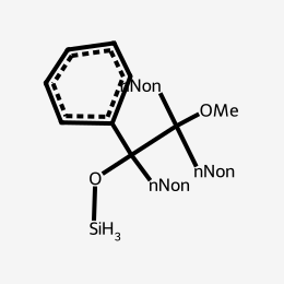 CCCCCCCCCC(CCCCCCCCC)(OC)C(CCCCCCCCC)(O[SiH3])c1ccccc1